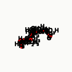 Cc1c(-c2ccc(N3CCc4cccc(C(O)Nc5nc6ccccc6s5)c4C3)nc2C(=O)O)cnn1CC12CC3(C)CC(C)(C1)CC(OCCN(C)C(=O)OCc1ccc(OCCOCCNCC(=N)[C@H](CS(=O)(=O)O)NC(=O)CCCCCN4C(=O)C=CC4=O)cc1O[C@@H]1O[C@H](C(=O)O)[C@@H](O)[C@H](O)[C@H]1O)(C3)C2